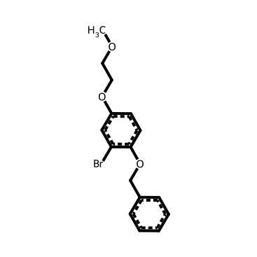 COCCOc1ccc(OCc2ccccc2)c(Br)c1